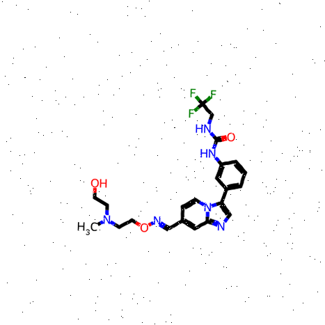 CN(CCO)CCON=Cc1ccn2c(-c3cccc(NC(=O)NCC(F)(F)F)c3)cnc2c1